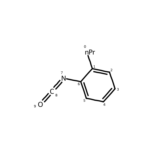 [CH2]CCc1ccccc1N=C=O